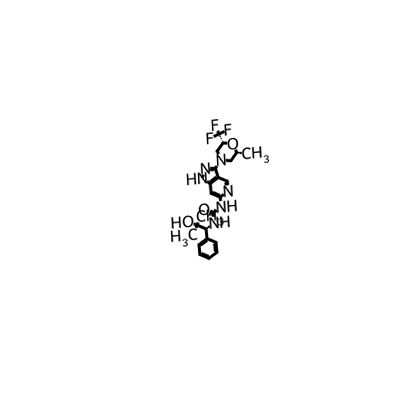 C[C@H]1CN(c2n[nH]c3cc(NC(=O)N[C@@H](c4ccccc4)C(C)(C)O)ncc23)C[C@H](C(F)(F)F)O1